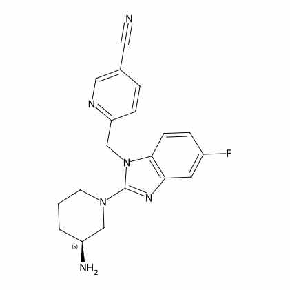 N#Cc1ccc(Cn2c(N3CCC[C@H](N)C3)nc3cc(F)ccc32)nc1